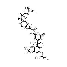 CC(C)Oc1cc(OC(F)(F)F)cc(C(C)(C)c2cc(Cl)cc(NC(=O)c3cc4cc(NS(=O)(=O)CCN(C)O)ccc4s3)c2)c1